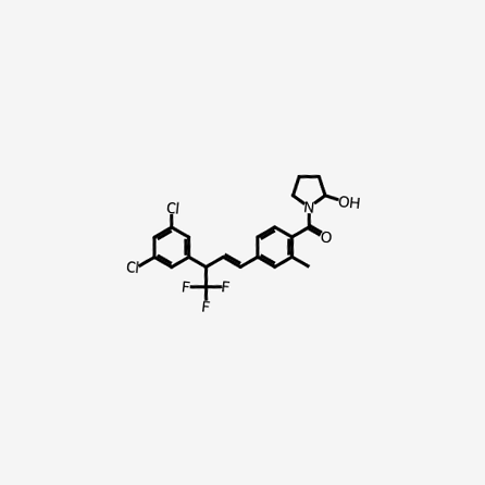 Cc1cc(/C=C/C(c2cc(Cl)cc(Cl)c2)C(F)(F)F)ccc1C(=O)N1CCCC1O